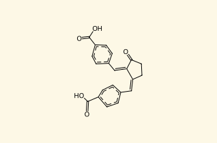 O=C1CCC(=C/c2ccc(C(=O)O)cc2)/C1=C/c1ccc(C(=O)O)cc1